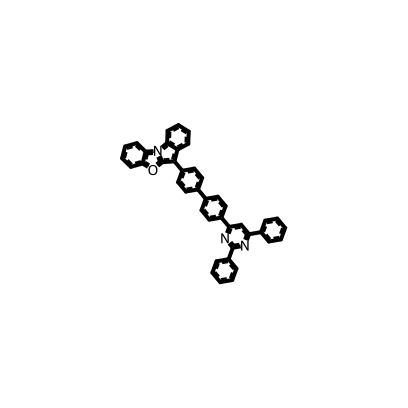 c1ccc(-c2cc(-c3ccc(-c4ccc(-c5c6ccccc6n6c5oc5ccccc56)cc4)cc3)nc(-c3ccccc3)n2)cc1